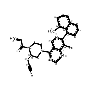 C=CC(=O)N1CCN(c2ncnc3c(F)c(-c4cccc5cccc(C)c45)ncc23)C[C@@H]1CC#N